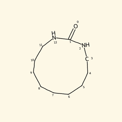 O=C1NCCCCCCCCCN1